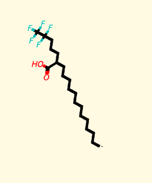 [CH2]CCCCCCCCCCCCC(CCCC(F)(F)C(F)(F)F)C(=O)O